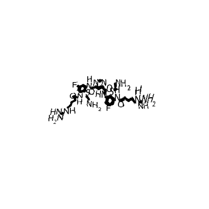 N=C(N)NCCCCC(=O)Nc1cc(F)cc(NC(=O)c2cc(C(=O)Nc3cc(F)cc(NC(=O)CCCCNC(=N)N)c3SCCN)ncn2)c1SCCN